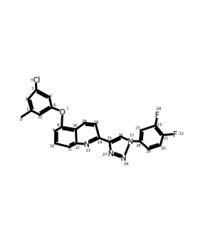 Cc1cc(Cl)cc(Oc2cccc3nc(-c4cn(-c5ccc(F)c(F)c5)nn4)ccc23)c1